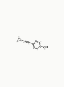 Oc1ccc(C#CC2CC2)cc1